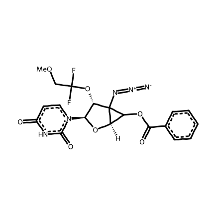 COCC(F)(F)O[C@H]1[C@H](n2ccc(=O)[nH]c2=O)O[C@@H]2C(OC(=O)c3ccccc3)C21N=[N+]=[N-]